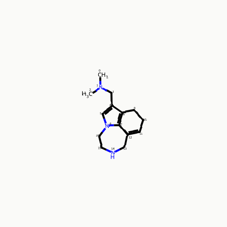 CN(C)Cc1cn2c3c1CCC=C3CNCC2